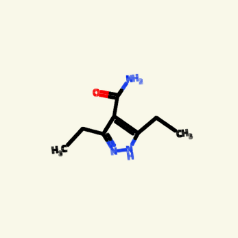 CCc1n[nH]c(CC)c1C(N)=O